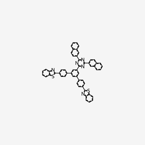 c1ccc2cc(-c3nc(-c4cc(-c5ccc(-c6nc7ccccc7s6)cc5)cc(-c5ccc(-c6nc7ccccc7s6)cc5)c4)nc(-c4ccc5ccccc5c4)n3)ccc2c1